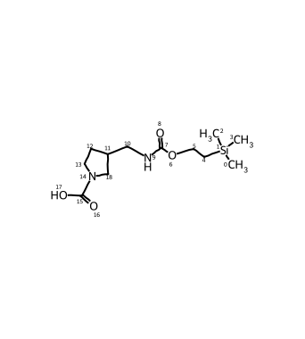 C[Si](C)(C)CCOC(=O)NCC1CCN(C(=O)O)C1